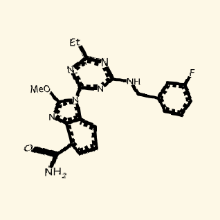 CCc1nc(NCc2cccc(F)c2)nc(-n2c(OC)nc3c(C(N)=O)cccc32)n1